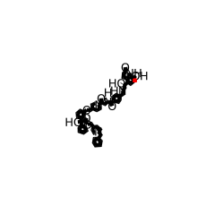 O=C(NCC(=O)N1CCC(COc2cccc(C(O)(C(=O)OCC3CCN(Cc4ccccc4)CC3)c3ccccc3)c2)CC1)c1ccc(CNC[C@H](O)c2ccc(O)c3[nH]c(=O)ccc23)cc1